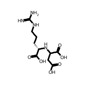 N=C(N)NCCC[C@H](NC(CC(=O)O)C(=O)O)C(=O)O